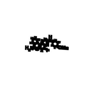 COC1CCC(Nc2ncc3c(-c4ccccc4C(N)=O)ncc(I)c3n2)CC1